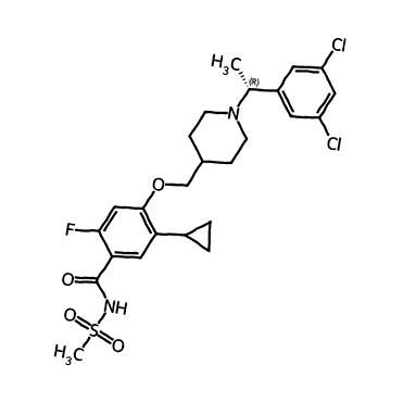 C[C@H](c1cc(Cl)cc(Cl)c1)N1CCC(COc2cc(F)c(C(=O)NS(C)(=O)=O)cc2C2CC2)CC1